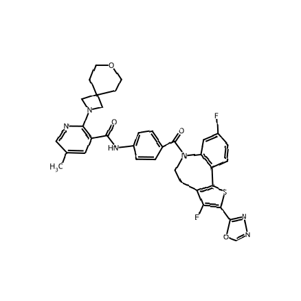 Cc1cnc(N2CC3(CCOCC3)C2)c(C(=O)Nc2ccc(C(=O)N3CCc4c(sc(-c5nnco5)c4F)-c4ccc(F)cc43)cc2)c1